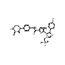 CN1CCN(c2ccc(NC(=O)c3c[nH]c(-c4c(-c5ccc(F)cc5)ncn4CC(F)(F)F)n3)cc2)C(=O)C1=O